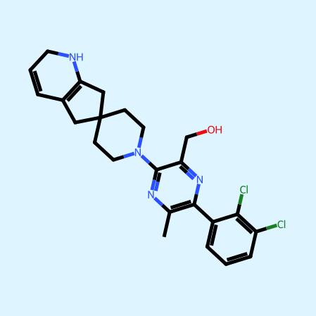 Cc1nc(N2CCC3(CC2)CC2=C(C3)NCC=C2)c(CO)nc1-c1cccc(Cl)c1Cl